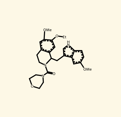 CCOc1cc2c(cc1OC)CCN(C(=O)N1CCOCC1)C2Cc1c[nH]c2ccc(OC)cc12